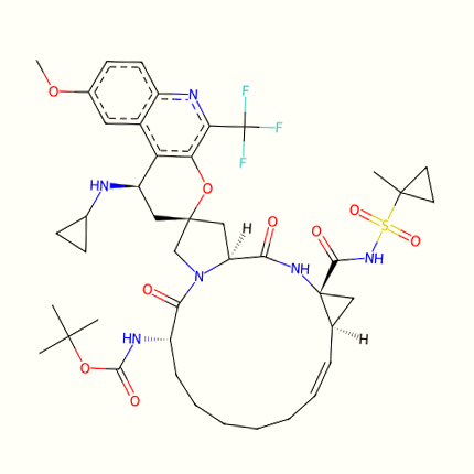 COc1ccc2nc(C(F)(F)F)c3c(c2c1)[C@H](NC1CC1)C[C@]1(C[C@H]2C(=O)N[C@]4(C(=O)NS(=O)(=O)C5(C)CC5)C[C@H]4/C=C\CCCCC[C@H](NC(=O)OC(C)(C)C)C(=O)N2C1)O3